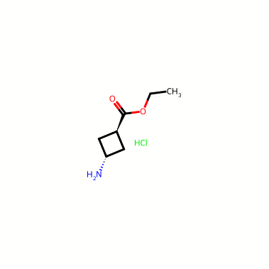 CCOC(=O)[C@H]1C[C@H](N)C1.Cl